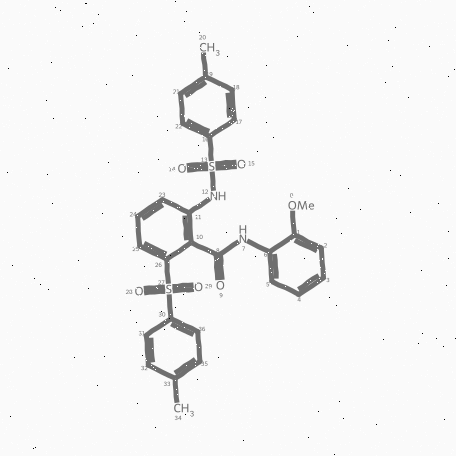 COc1ccccc1NC(=O)c1c(NS(=O)(=O)c2ccc(C)cc2)cccc1S(=O)(=O)c1ccc(C)cc1